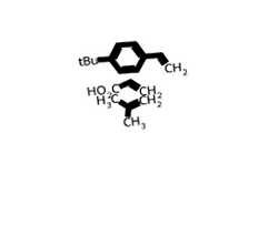 C=C(C)C.C=CC(=O)O.C=Cc1ccc(C(C)(C)C)cc1